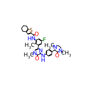 Cc1c(NC(=O)c2cc3c(s2)CCCC3)cc(F)cc1-c1cn(C)c(=O)c(Nc2ccc(C3C(=O)N(C)CCN3C)cc2)n1